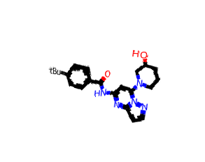 CC(C)(C)c1ccc(C(=O)Nc2cc(N3CCCC(O)C3)n3nccc3n2)cc1